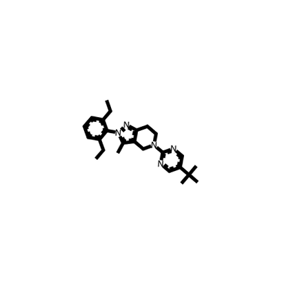 CCc1cccc(CC)c1-n1nc2c(c1C)CN(c1ncc(C(C)(C)C)cn1)CC2